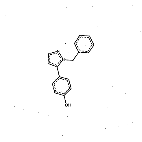 Oc1ccc(-c2ccnn2Cc2cc[c]cc2)cc1